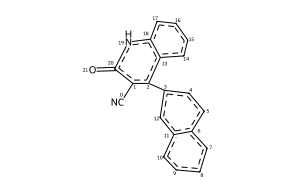 N#Cc1c(-c2ccc3ccccc3c2)c2ccccc2[nH]c1=O